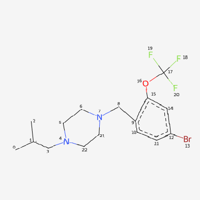 C[C](C)CN1CCN(Cc2ccc(Br)cc2OC(F)(F)F)CC1